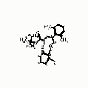 Cc1cccc(C)c1C(CNC(=O)OC(C)(C)C)COCc1c(F)cccc1F